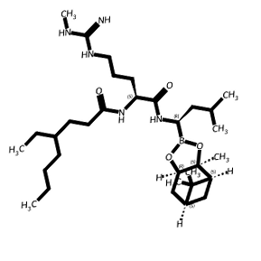 CCCCC(CC)CCC(=O)N[C@@H](CCCNC(=N)NC)C(=O)N[C@@H](CC(C)C)B1O[C@@H]2C[C@@H]3C[C@@H](C3(C)C)[C@]2(C)O1